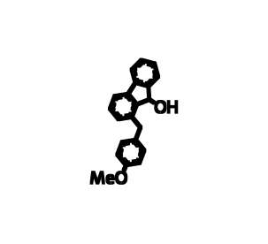 COc1ccc(Cc2cccc3c2C(O)c2ccccc2-3)cc1